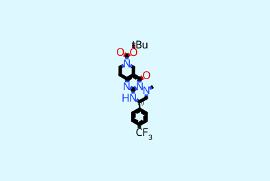 CN1C[C@@H](c2ccc(C(F)(F)F)cc2)Nc2nc3c(c(=O)n21)CN(C(=O)OC(C)(C)C)CC3